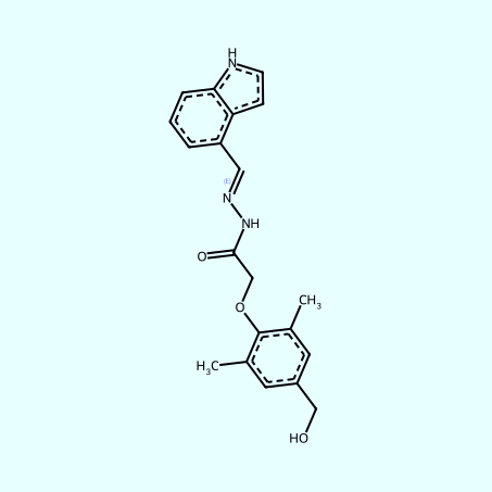 Cc1cc(CO)cc(C)c1OCC(=O)N/N=C/c1cccc2[nH]ccc12